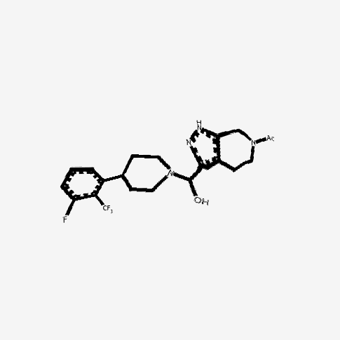 CC(=O)N1CCc2c(C(O)N3CCC(c4cccc(F)c4C(F)(F)F)CC3)n[nH]c2C1